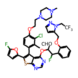 Cc1c(-c2c(-c3ccc(F)o3)sc3ncnc(OC(C=O)C(F)c4ccccc4OCc4ccnn4CC(F)(F)F)c23)ccc(OCCN2CCN(C)CC2)c1Cl